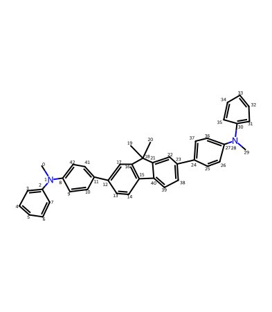 CN(c1ccccc1)c1ccc(-c2ccc3c(c2)C(C)(C)c2cc(-c4ccc(N(C)c5ccccc5)cc4)ccc2-3)cc1